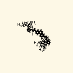 COC(=O)N[C@H](C(=O)N1CCC[C@H]1c1ncc(-c2ccc3c(c2)CCc2cc(-c4cnc(C5[C@H]6CC[C@H](C6)N5C(=O)[C@@H](NC(=O)OC)[C@@H](C)OC)[nH]4)ccc2-3)[nH]1)[C@@H](C)OC